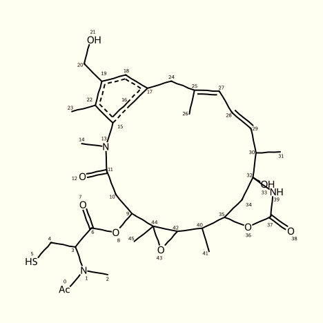 CC(=O)N(C)C(CS)C(=O)OC1CC(=O)N(C)c2cc(cc(CO)c2C)C/C(C)=C/C=C/C(C)C2(O)CC(OC(=O)N2)C(C)C2OC12C